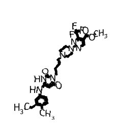 CCc1cc(Nc2cc(=O)n(CCCCN3CCN(c4ncc(C(=O)OC)c(C(F)(F)F)n4)CC3)c(=O)[nH]2)ccc1C